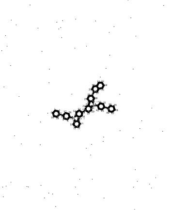 c1ccc(-c2ccc(-n3c4ccccc4c4cc(-c5ccc6c(c5)c5ccc(-c7ccc8ccccc8c7)cc5n6-c5ccc(-c6ccccc6)cc5)ccc43)cc2)cc1